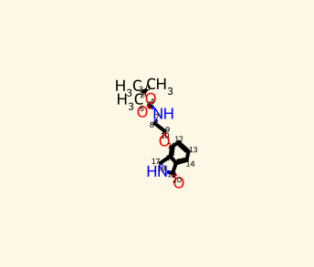 CC(C)(C)OC(=O)NCCOc1cccc2c1CNC2=O